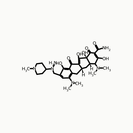 CN1CCC(N(N)Cc2cc(N(C)C)c3c(c2O)C(=O)C2=C(O)[C@]4(O)C(=O)C(C(N)=O)=C(O)C(N(C)C)[C@@H]4C[C@@H]2C3)CC1